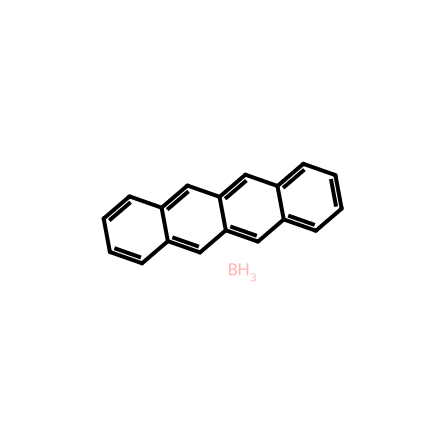 B.c1ccc2cc3cc4ccccc4cc3cc2c1